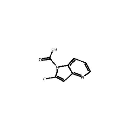 O=C(O)n1c(F)cc2ncccc21